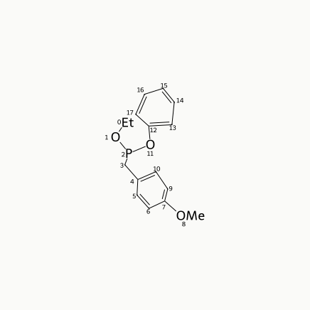 CCOP(Cc1ccc(OC)cc1)Oc1ccccc1